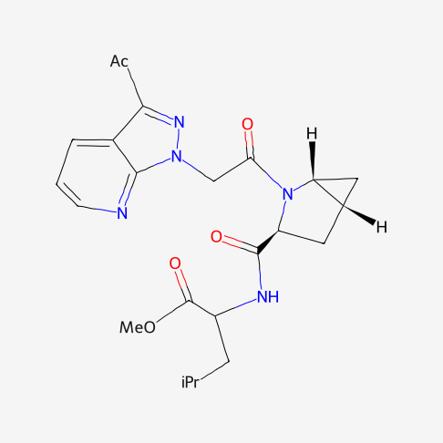 COC(=O)C(CC(C)C)NC(=O)[C@@H]1C[C@H]2C[C@H]2N1C(=O)Cn1nc(C(C)=O)c2cccnc21